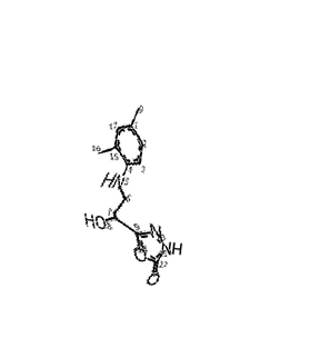 Cc1ccc(NCC(O)c2n[nH]c(=O)o2)c(C)c1